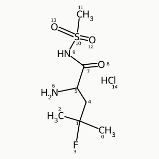 CC(C)(F)CC(N)C(=O)NS(C)(=O)=O.Cl